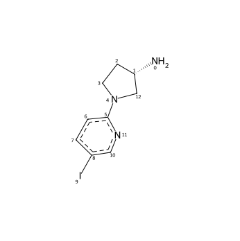 N[C@H]1CCN(c2ccc(I)cn2)C1